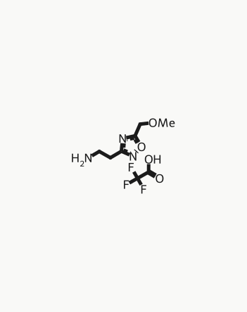 COCc1nc(CCN)no1.O=C(O)C(F)(F)F